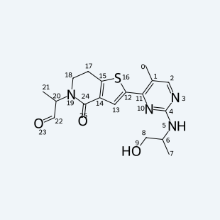 Cc1cnc(NC(C)CO)nc1-c1cc2c(s1)CCN(C(C)C=O)C2=O